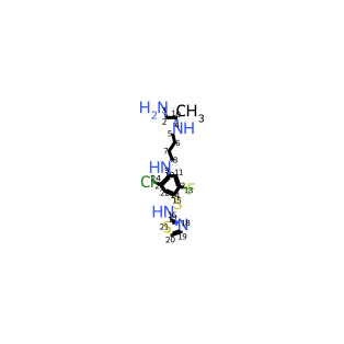 C[C@@H](CN)NCCCCNc1cc(F)c(SNc2nccs2)cc1Cl